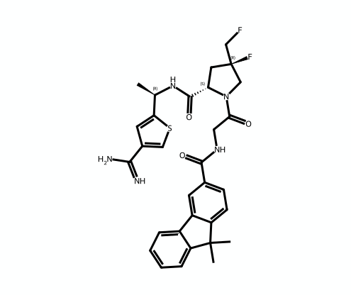 C[C@@H](NC(=O)[C@@H]1C[C@](F)(CF)CN1C(=O)CNC(=O)c1ccc2c(c1)-c1ccccc1C2(C)C)c1cc(C(=N)N)cs1